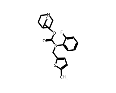 Cc1ccc(CN(C(=O)OC2CN3CCC2CC3)c2ccccc2F)s1